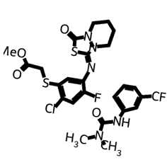 CN(C)C(=O)Nc1cccc(C(F)(F)F)c1.COC(=O)CSc1cc(/N=c2\sc(=O)n3n2CCCC3)c(F)cc1Cl